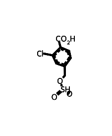 O=C(O)c1ccc(CO[SH](=O)=O)cc1Cl